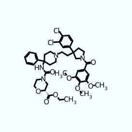 CCOC(=O)[C@H]1CN(C(=O)NC2(c3ccccc3)CCN(CCC3(c4ccc(Cl)c(Cl)c4)CCN(C(=O)c4cc(OC)c(OC)c(OC)c4)C3)CC2)CCO1